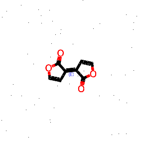 O=C1OC=C/C1=C1/C=COC1=O